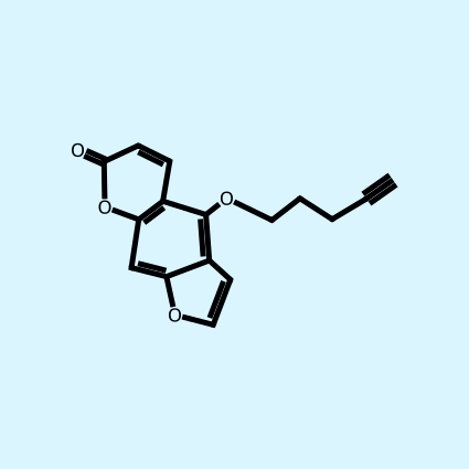 C#CCCCOc1c2ccoc2cc2oc(=O)ccc12